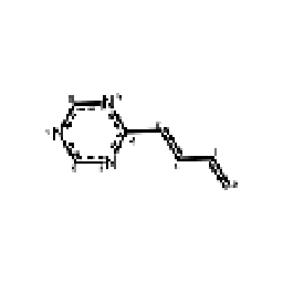 C=CC=Cc1ncncn1